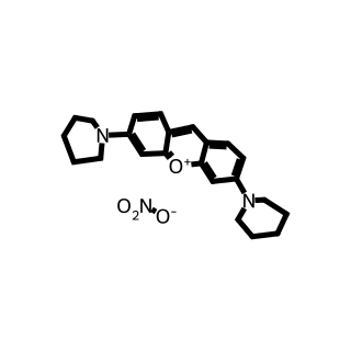 O=[N+]([O-])[O-].c1cc2cc3ccc(N4CCCCC4)cc3[o+]c2cc1N1CCCCC1